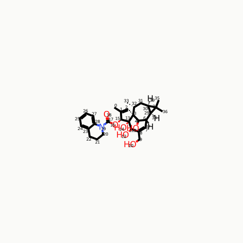 CC1=C[C@]23C(O)[C@@H](C=C(CO)[C@@H](O)[C@]2(O)[C@H]1OC(=O)N1CCCc2ccccc21)[C@H]1[C@@H](C[C@H]3C)C1(C)C